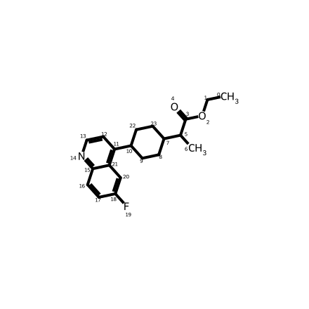 CCOC(=O)C(C)C1CCC(c2ccnc3ccc(F)cc23)CC1